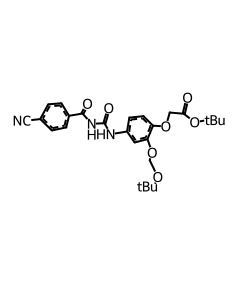 CC(C)(C)OCOc1cc(NC(=O)NC(=O)c2ccc(C#N)cc2)ccc1OCC(=O)OC(C)(C)C